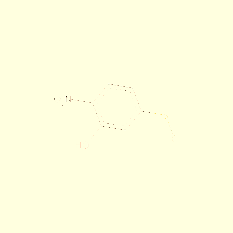 O=[N+]([O-])c1ccc(SCl)cc1O